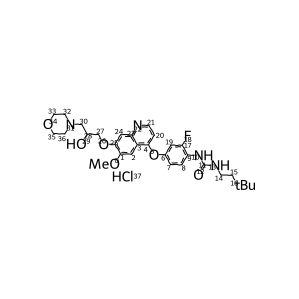 COc1cc2c(Oc3ccc(NC(=O)NCCC(C)(C)C)c(F)c3)ccnc2cc1OCC(O)CN1CCOCC1.Cl